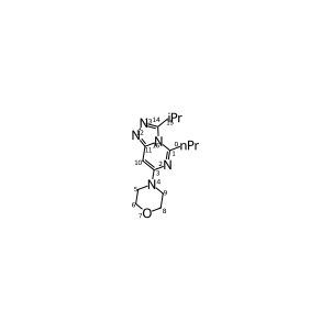 CCCc1nc(N2CCOCC2)cc2nnc(C(C)C)n12